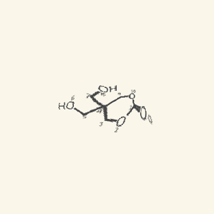 O=C1OCC(CO)(CO)CO1